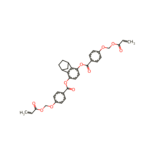 C=CC(=O)OCOc1ccc(C(=O)Oc2ccc(OC(=O)c3ccc(OCOC(=O)C=C)cc3)c3c2C2CCC3C2)cc1